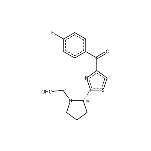 O=CCN1CCC[C@H]1c1nc(C(=O)c2ccc(F)cc2)cs1